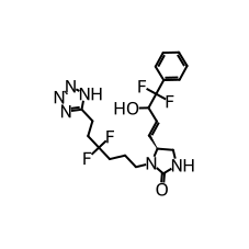 O=C1NC[C@H](/C=C/C(O)C(F)(F)c2ccccc2)N1CCCC(F)(F)CCc1nnn[nH]1